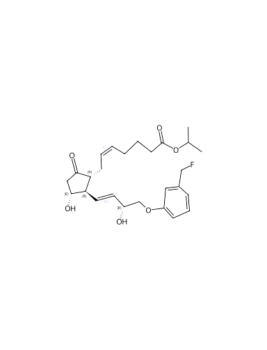 CC(C)OC(=O)CCC/C=C\C[C@H]1C(=O)C[C@@H](O)[C@@H]1/C=C/[C@@H](O)COc1cccc(CF)c1